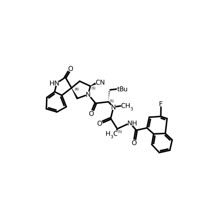 C[C@H](NC(=O)c1cc(F)cc2ccccc12)C(=O)N(C)[C@@H](CC(C)(C)C)C(=O)N1C[C@]2(C[C@H]1C#N)C(=O)Nc1ccccc12